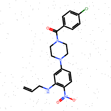 C=CCNc1cc(N2CCN(C(=O)c3ccc(Cl)cc3)CC2)ccc1[N+](=O)[O-]